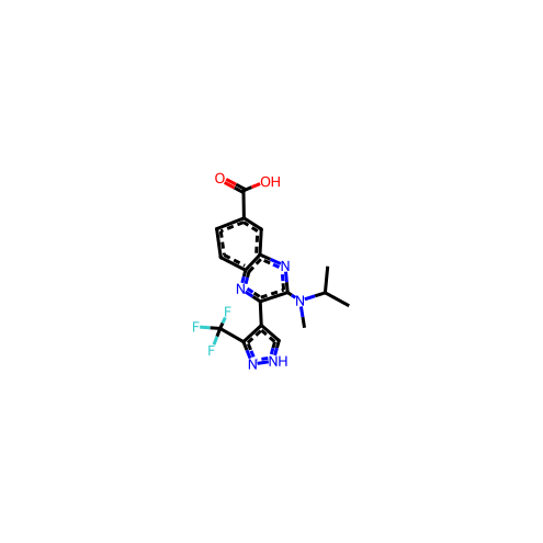 CC(C)N(C)c1nc2cc(C(=O)O)ccc2nc1-c1c[nH]nc1C(F)(F)F